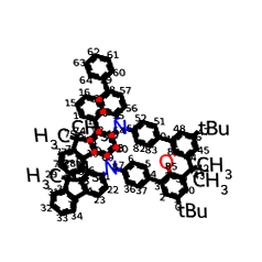 CC(C)(C)c1cc(-c2ccc(N(c3ccc(-c4ccccc4)cc3)c3ccc4c(c3)C(C)(C)c3ccccc3-4)cc2)c2c(c1)C(C)(C)c1cc(C(C)(C)C)cc(-c3ccc(N(c4ccc(-c5ccccc5)cc4)c4ccc5c(c4)C(C)(C)c4ccccc4-5)cc3)c1O2